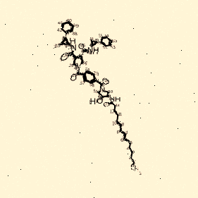 CCCCCCCCCCCCCCC(=O)N[C@H]1CN(C(=O)c2ccc(C(=O)N3CC(C(=O)N[C@H]4C[C@@H]4c4ccccc4)[C@H](C(=O)N[C@H]4C[C@@H]4c4ccccc4)C3)cc2)C[C@@H]1O